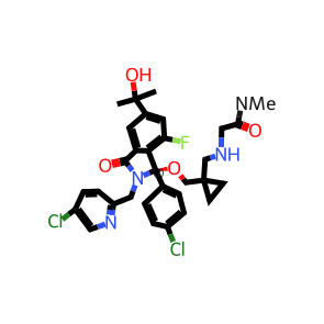 CNC(=O)CNCC1(CO[C@]2(c3ccc(Cl)cc3)c3c(F)cc(C(C)(C)O)cc3C(=O)N2Cc2ccc(Cl)cn2)CC1